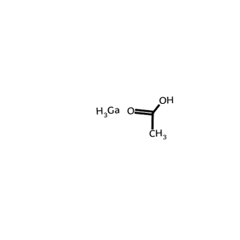 CC(=O)O.[GaH3]